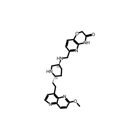 COc1ccc2nccc(CC[C@H]3CC[C@H](NCc4ccc5c(n4)NC(=O)CO5)CN3)c2n1